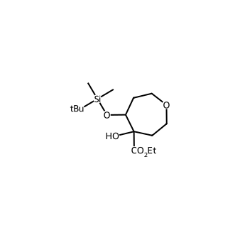 CCOC(=O)C1(O)CCOCCC1O[Si](C)(C)C(C)(C)C